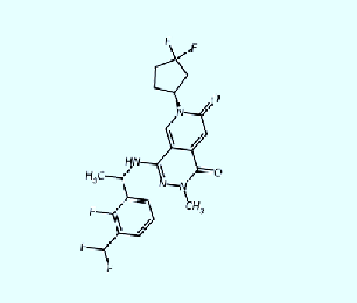 CC(Nc1nn(C)c(=O)c2cc(=O)n([C@H]3CCC(F)(F)C3)cc12)c1cccc(C(F)F)c1F